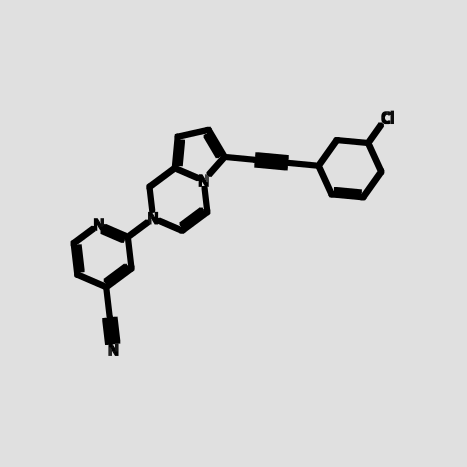 N#Cc1ccnc(N2C=Cn3c(C#CC4C=CCC(Cl)C4)ccc3C2)c1